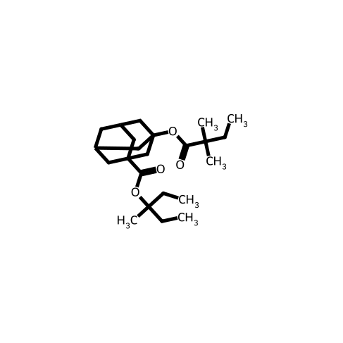 CCC(C)(CC)OC(=O)C12CC3CC(CC(OC(=O)C(C)(C)CC)(C3)C1)C2